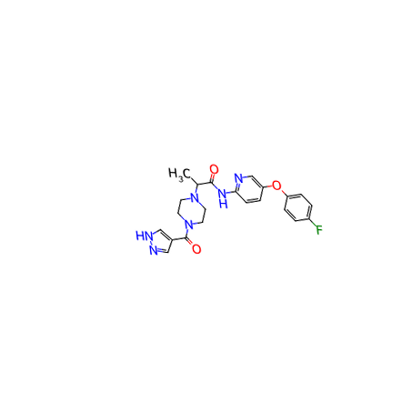 CC(C(=O)Nc1ccc(Oc2ccc(F)cc2)cn1)N1CCN(C(=O)c2cn[nH]c2)CC1